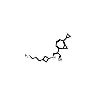 N=C/C(=C\NC1CC(CCCN)C1)C1=CC=CC(C2CC2)=C2CC12